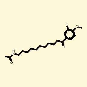 COc1ccc(C(=O)CCCCCCCCCCNC(C)=O)cc1F